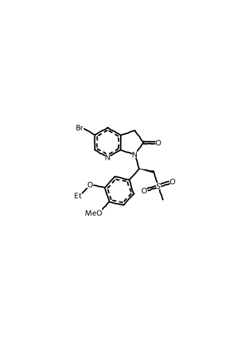 CCOc1cc([C@H](CS(C)(=O)=O)N2C(=O)Cc3cc(Br)cnc32)ccc1OC